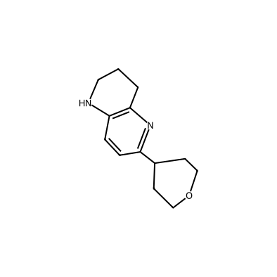 c1cc2c(nc1C1CCOCC1)CCCN2